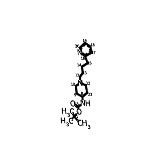 CC(C)(C)OC(=O)NC1CCN(CCCCc2ccccn2)CC1